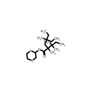 CCC(C)(CC)CC(C)(C(=O)OC1CSCCS1)C(C)(C)CC